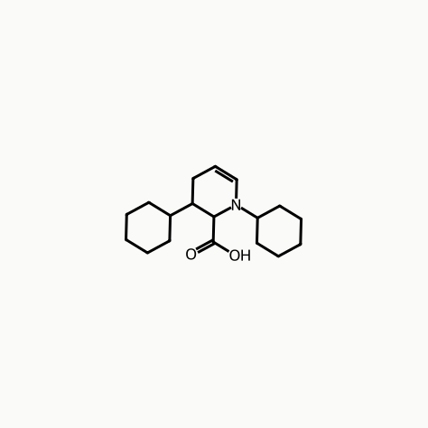 O=C(O)C1C(C2CCCCC2)CC=CN1C1CCCCC1